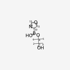 CC(C)(O)C(C)(C)OB(O)c1cocn1